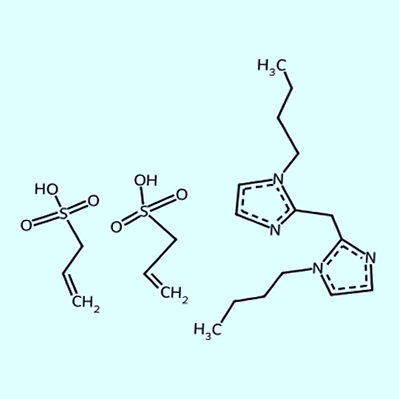 C=CCS(=O)(=O)O.C=CCS(=O)(=O)O.CCCCn1ccnc1Cc1nccn1CCCC